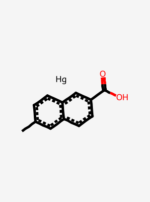 Cc1ccc2cc(C(=O)O)ccc2c1.[Hg]